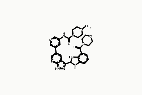 CN1CCN(C(=O)Nc2cncc(-c3cnc4[nH]nc(C5Nc6cccc(C(=O)N7CCOCC7)c6N5)c4c3)c2)CC1